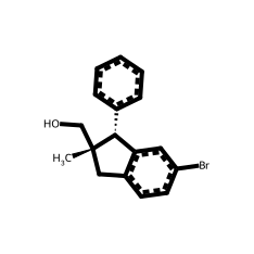 C[C@]1(CO)Cc2ccc(Br)cc2[C@H]1c1ccccc1